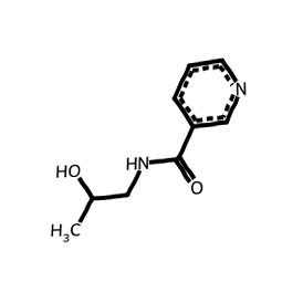 CC(O)CNC(=O)c1cccnc1